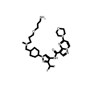 CN(CCCOCCCN)CC1CCC(n2cc(NC(=O)c3cnn4ccc(N5CCOCC5)nc34)c(C(F)F)n2)CC1